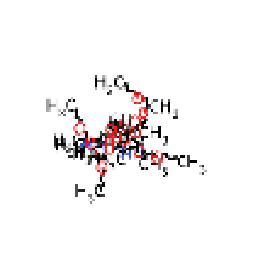 CCCCOCC(C)OCC(C)O[Si](CCCNC)(OC(C)COC(C)COCCCC)O[Si](C)(C)O[Si](CCCNC)(OC(C)COC(C)COCCCC)OC(C)COC(C)COCCCC